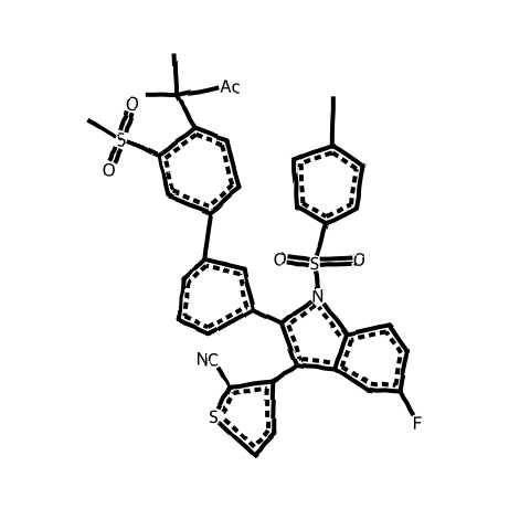 CC(=O)C(C)(C)c1ccc(-c2cccc(-c3c(-c4ccsc4C#N)c4cc(F)ccc4n3S(=O)(=O)c3ccc(C)cc3)c2)cc1S(C)(=O)=O